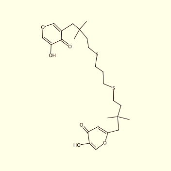 CC(C)(CCSCCCSCCC(C)(C)Cc1cocc(O)c1=O)Cc1cc(=O)c(O)co1